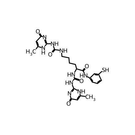 Cc1cc(=O)nc(NC(=O)NCCCCC(NC(=O)Nc2nc(=O)cc(C)[nH]2)C(=O)Nc2cccc(S)c2)[nH]1